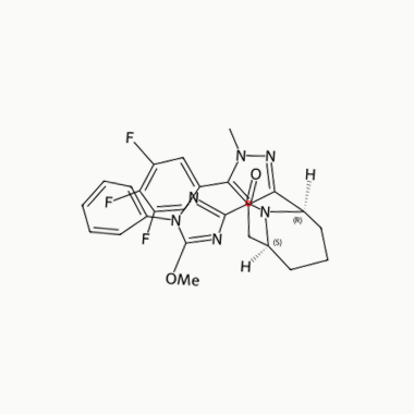 COc1nc(C(=O)N2[C@H]3CCC[C@@H]2c2nn(C)c(-c4cc(F)c(F)c(F)c4)c2C3)nn1-c1ccccc1